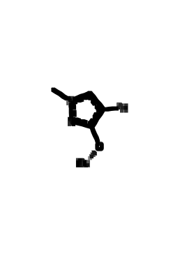 [2H]c1cn(C)nc1O[C@@H](C)CC